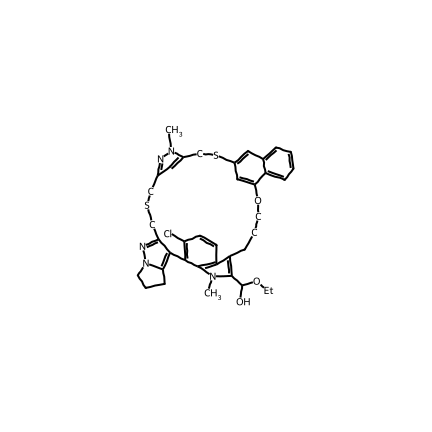 CCOC(O)c1c2c3ccc(Cl)c(c3n1C)-c1c(nn3c1CCC3)CSCc1cc(n(C)n1)CSc1cc(c3ccccc3c1)OCCC2